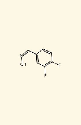 O/N=C\c1[c]cc(F)c(F)c1